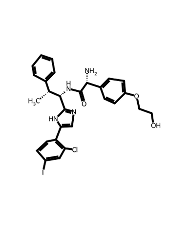 C[C@H](c1ccccc1)[C@H](NC(=O)[C@H](N)c1ccc(OCCO)cc1)c1ncc(-c2ccc(I)cc2Cl)[nH]1